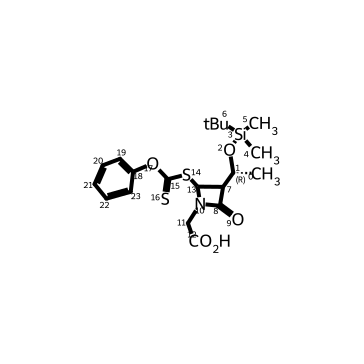 C[C@@H](O[Si](C)(C)C(C)(C)C)C1C(=O)N(CC(=O)O)C1SC(=S)Oc1ccccc1